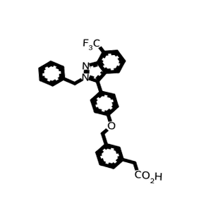 O=C(O)Cc1cccc(COc2ccc(-c3c4cccc(C(F)(F)F)c4nn3Cc3ccccc3)cc2)c1